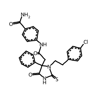 NC(=O)c1ccc(NC(=O)CC2(c3ccccc3)C(=O)NC(=S)N2CCc2ccc(Cl)cc2)cc1